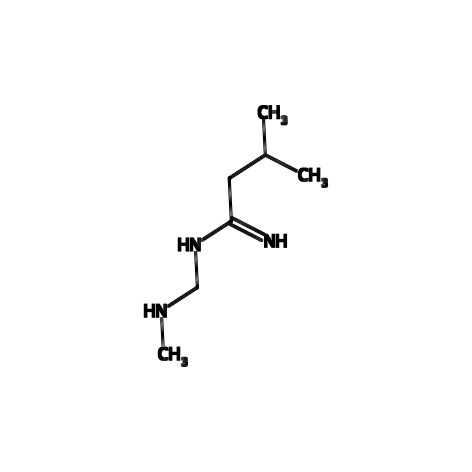 CNCNC(=N)CC(C)C